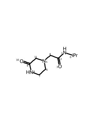 CC(C)NC(=O)CN1CCNC(=O)C1